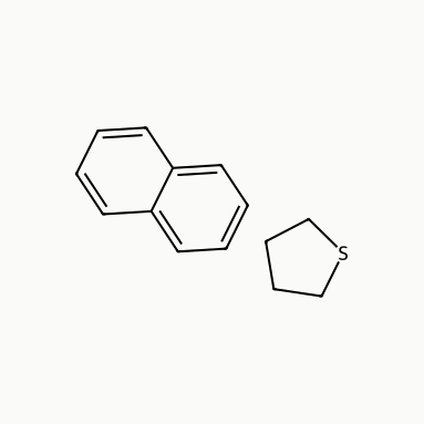 C1CCSC1.c1ccc2ccccc2c1